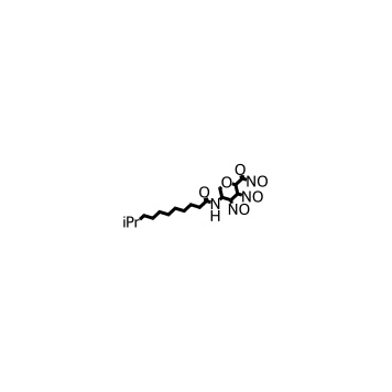 CC(C)CCCCCCCCC(=O)NC1COC(C(=O)N=O)C(N=O)C1N=O